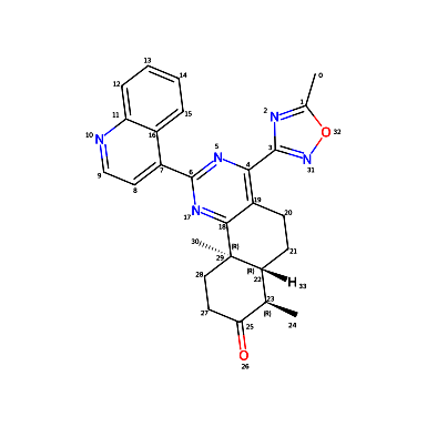 Cc1nc(-c2nc(-c3ccnc4ccccc34)nc3c2CC[C@@H]2[C@@H](C)C(=O)CC[C@@]32C)no1